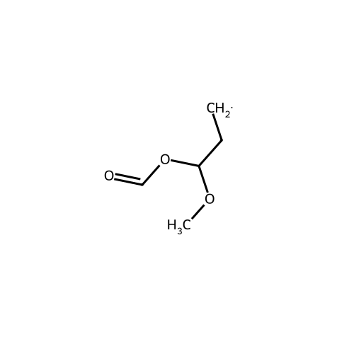 [CH2]CC(OC)OC=O